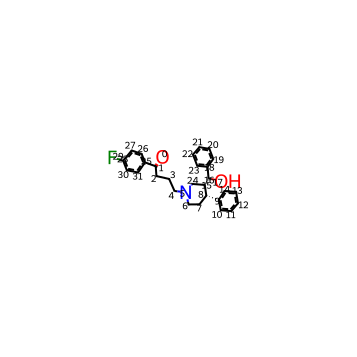 O=C(CCCN1CC[C@@H](c2ccccc2)[C@@H](C(O)c2ccccc2)C1)c1ccc(F)cc1